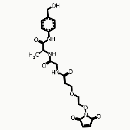 C[C@H](NC(=O)CNC(=O)CCOCCON1C(=O)C=CC1=O)C(=O)Nc1ccc(CO)cc1